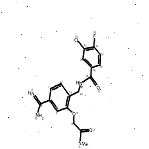 CNC(=O)COc1cc(C(=N)N)ccc1CNC(=O)c1ccc(F)c(Cl)c1